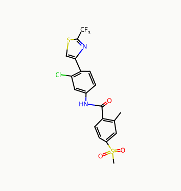 Cc1cc(S(C)(=O)=O)ccc1C(=O)Nc1ccc(-c2csc(C(F)(F)F)n2)c(Cl)c1